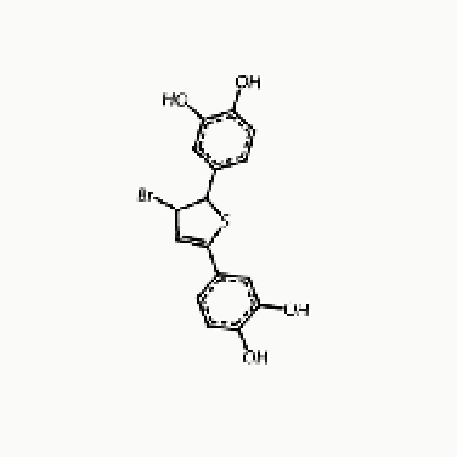 Oc1ccc(C2=CC(Br)C(c3ccc(O)c(O)c3)S2)cc1O